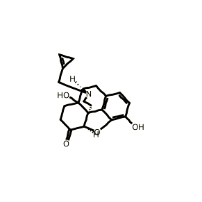 O=C1CCC2(O)[C@H]3Cc4ccc(O)c5c4[C@@]2(CCN3CC2=CC2)[C@H]1O5